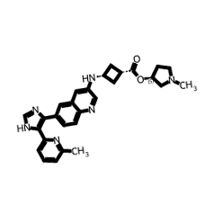 Cc1cccc(-c2[nH]cnc2-c2ccc3ncc(N[C@H]4C[C@@H](C(=O)O[C@H]5CCN(C)C5)C4)cc3c2)n1